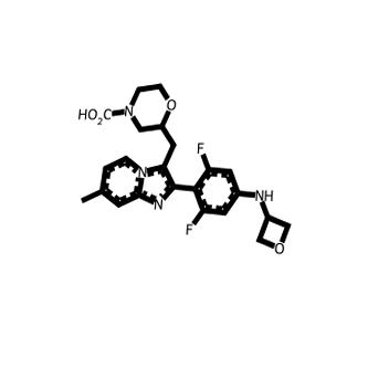 Cc1ccn2c(CC3CN(C(=O)O)CCO3)c(-c3c(F)cc(NC4COC4)cc3F)nc2c1